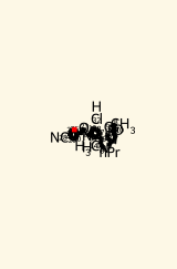 CCCN(CC1CCN(S(C)(=O)=O)CC1)C(C)Cc1cccc(NC(=O)c2ccc(C#N)cc2)c1.Cl